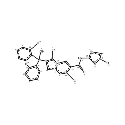 CCc1c(C(O)(c2ccccc2F)c2ccccc2F)cc2cc(Cl)c(C(=O)Nc3ncn(CC)n3)cn12